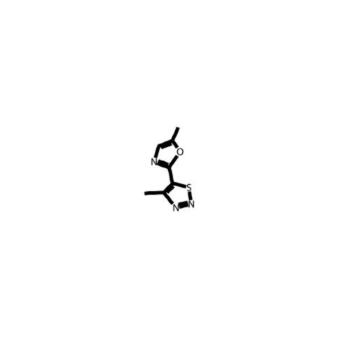 Cc1cnc(-c2snnc2C)o1